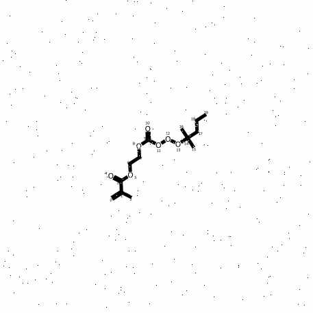 C=C(C)C(=O)OCCOC(=O)OOOC(C)(C)CCC